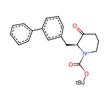 CC(C)(C)OC(=O)N1CCCC(=O)[C@@H]1Cc1cccc(-c2ccccc2)c1